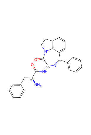 N[C@@H](Cc1ccccc1)C(=O)N[C@H]1N=C(c2ccccc2)c2cccc3c2N(CC3)C1=O